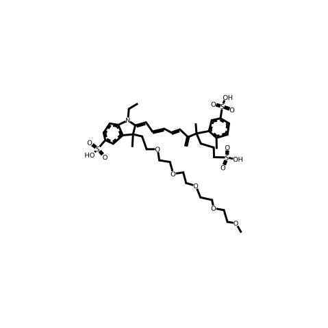 C=C(/C=C/C=C/C=C1/N(CC)c2ccc(S(=O)(=O)O)cc2C1(C)CCOCCOCCOCCOCCOC)C(C)(CCCS(=O)(=O)O)c1cc(S(=O)(=O)O)ccc1C